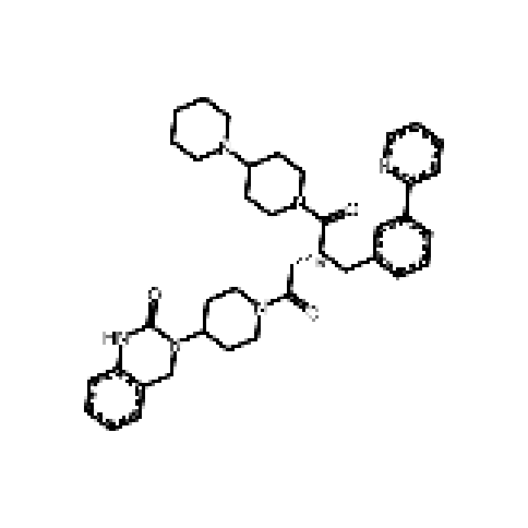 O=C(C[C@@H](Cc1cccc(-c2ccccn2)c1)C(=O)N1CCC(N2CCCCC2)CC1)N1CCC(N2Cc3ccccc3NC2=O)CC1